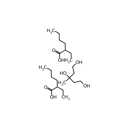 CC(O)(CCO)CCO.CCCCC(CC)C(=O)O.CCCCC(CC)C(=O)O